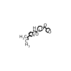 CCC(C)c1ccc(NC(=O)N2CCCN(C(=O)C3CCOCC3)CC2)nc1